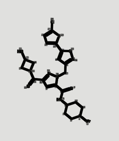 CC(C)N1CCC(NC(=O)c2cc(C(=O)N3CC(O)C3)nn2Cc2cc(-c3ccc(Cl)s3)on2)CC1